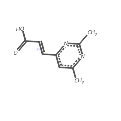 Cc1cc(/C=C/C(=O)O)nc(C)n1